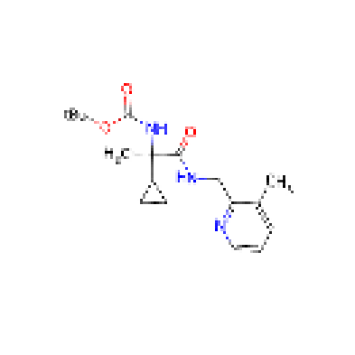 Cc1cccnc1CNC(=O)C(C)(NC(=O)OC(C)(C)C)C1CC1